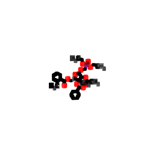 CCOP(=O)(CO[C@H]1O[C@@H](COC(=O)c2ccccc2C)C(C)(OC(=O)c2ccccc2)C1OC(C)=O)OCC